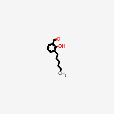 CCCCCCc1cccc(C=O)c1O